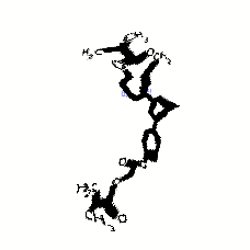 C=C/C=C(\C=C/COC(=O)C(=C)C)c1cccc(-c2ccc(OC(=O)COC(=O)C(=C)C)cc2)c1